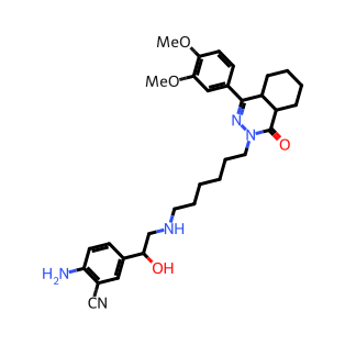 COc1ccc(C2=NN(CCCCCCNCC(O)c3ccc(N)c(C#N)c3)C(=O)C3CCCCC23)cc1OC